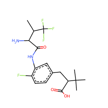 CC(C(N)C(=O)Nc1cc(CC(C(=O)O)C(C)(C)C)ccc1F)C(F)(F)F